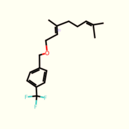 CC(C)=CCC/C(C)=C/COCc1ccc(C(F)(F)F)cc1